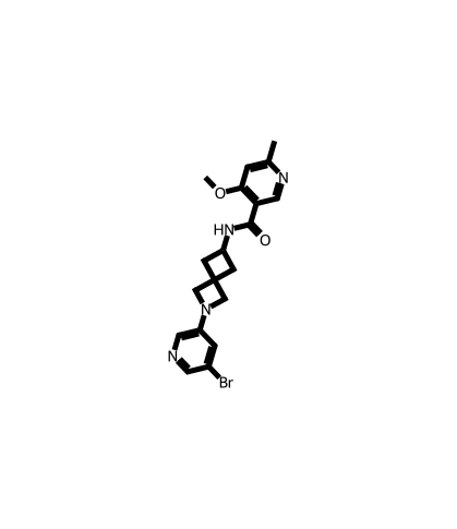 COc1cc(C)ncc1C(=O)NC1CC2(C1)CN(c1cncc(Br)c1)C2